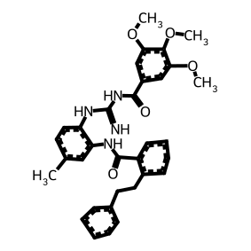 COc1cc(C(=O)NC(=N)Nc2ccc(C)cc2NC(=O)c2ccccc2CCc2ccccc2)cc(OC)c1OC